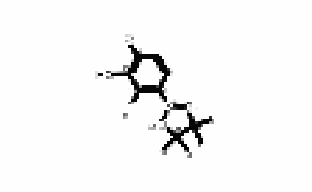 CC1(C)OB(c2ccc(F)c(O)c2F)OC1(C)C